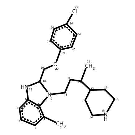 Cc1cccc2c1N(CCC(C)C1CCNCC1)C(COc1ccc(Cl)cc1)N2